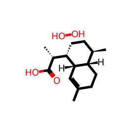 CC1=C[C@H]2[C@@H](CC1)[C@H](C)CC[C@H]2[C@@H](C)C(=O)O.OO